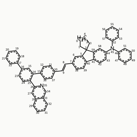 CCC1(CC)c2cc(/C=C/c3ccc(-c4cc(-c5ccccc5)ccc4-c4cc5ccccc5cn4)cc3)ccc2-c2ccc(N(c3ccccc3)c3ccccc3)cc21